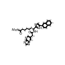 CNC(=O)CCCCC[C@H](NC(=O)Cc1cnc2ncnn2c1)c1ncc(-c2ccc3ccccc3c2)[nH]1